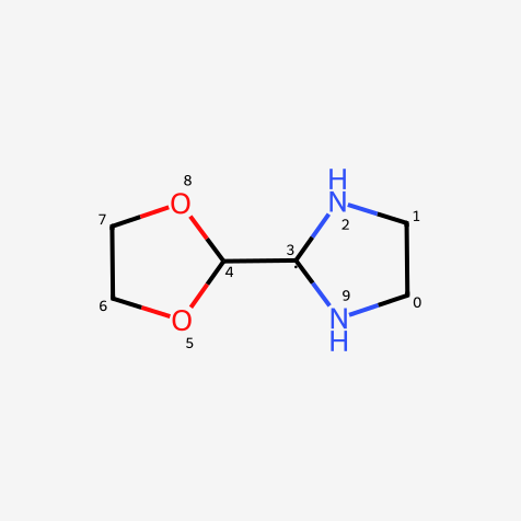 C1CN[C](C2OCCO2)N1